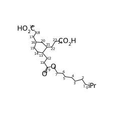 CC(C)CCCCCCCOC(=O)CCC1CCC(CCC(=O)O)CC1CCC(=O)O